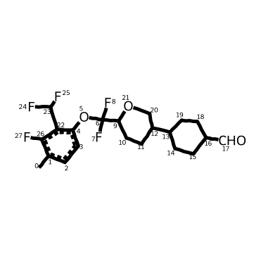 Cc1ccc(OC(F)(F)C2CCC(C3CCC(C=O)CC3)CO2)c(C(F)F)c1F